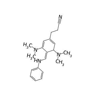 CN(C)C1=CC(CCC#N)=CC(N(C)C)C1=CNc1ccccc1